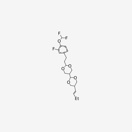 CC/C=C/C1COC(C2COC(CCc3ccc(OC(F)F)c(F)c3)OC2)OC1